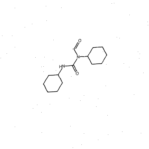 O=[C]N(C(=O)NC1CCCCC1)C1CCCCC1